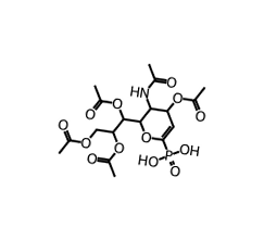 CC(=O)NC1C(OC(C)=O)C=C(P(=O)(O)O)OC1C(OC(C)=O)C(COC(C)=O)OC(C)=O